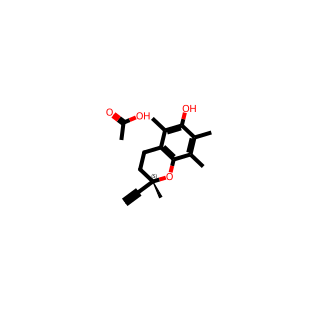 C#C[C@]1(C)CCc2c(C)c(O)c(C)c(C)c2O1.CC(=O)O